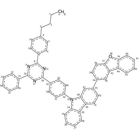 CCCCc1ccc(-c2nc(-c3ccccc3)nc(-c3ccc(-n4c5ccccc5c5ccc(-c6ccc7oc8ccccc8c7c6)cc54)cc3)n2)cc1